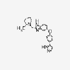 CC1CCCCN1Cc1nc2cc(Oc3ccc(-c4ccn[nH]4)cc3)ccc2[nH]1